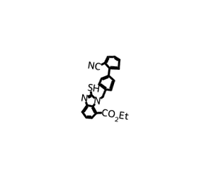 CCOC(=O)c1cccc2nc(S)n(Cc3ccc(-c4ccccc4C#N)cc3)c12